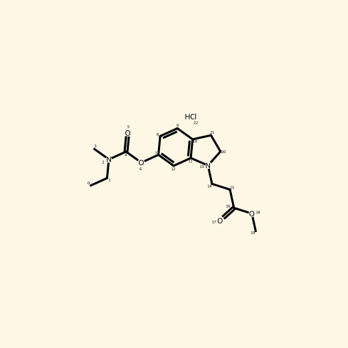 CCN(C)C(=O)Oc1ccc2c(c1)N(CCC(=O)OC)CC2.Cl